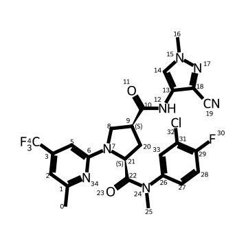 Cc1cc(C(F)(F)F)cc(N2C[C@@H](C(=O)Nc3cn(C)nc3C#N)C[C@H]2C(=O)N(C)c2ccc(F)c(Cl)c2)n1